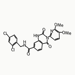 COc1ccc(-n2c(=O)[nH]c3cc(C(=O)NCc4ccc(Cl)cc4Cl)ccc3c2=O)nc1OC